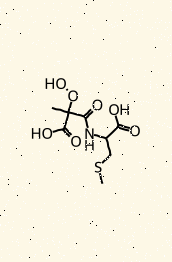 CSCC(NC(=O)C(C)(OO)C(=O)O)C(=O)O